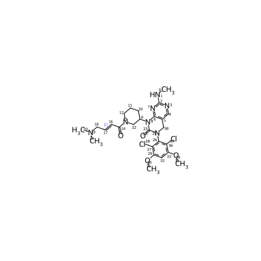 CNc1ncc2c(n1)N(C1CCCN(C(=O)/C=C/CN(C)C)C1)C(=O)N(c1c(Cl)c(OC)cc(OC)c1Cl)C2